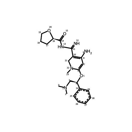 CN(C)C[C@@H](OC1=CC(N)=C(C(=N)NC(=O)[C@H]2CCCO2)CN1C)c1ccccc1